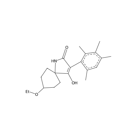 CCOC1CCC2(CC1)NC(=O)C(c1c(C)cc(C)c(C)c1C)=C2O